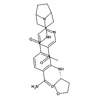 CC(=O)c1ccc(N2C3CCC2CC(NC(=O)c2ccc(C(N)=O)c(N[C@@H]4CCOC4)c2)C3)nc1